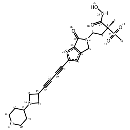 C[C@@](CCN1Cc2cc(C#CC#CC3CN(C4CCOCC4)C3)sc2C1=O)(C(=O)NO)S(C)(=O)=O